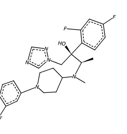 C[C@@H](N(C)C1CCN(c2cccc(Br)c2)CC1)[C@](O)(Cn1cncn1)c1ccc(F)cc1F